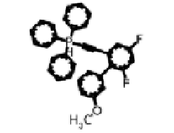 COc1cccc(-c2c(F)cc(F)cc2C#C[PH](c2ccccc2)(c2ccccc2)c2ccccc2)c1